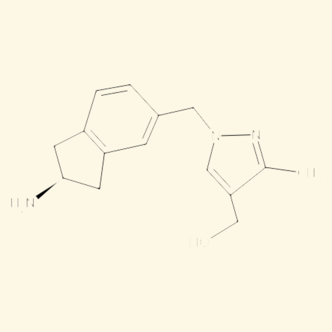 Cc1nn(Cc2ccc3c(c2)C[C@@H](N)C3)cc1CO